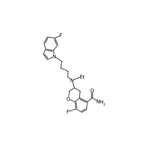 CCN(CCCCn1ccc2ccc(F)cc21)C1COc2c(F)ccc(C(N)=O)c2C1